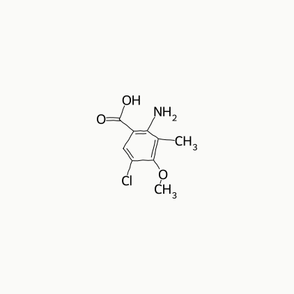 COc1c(Cl)cc(C(=O)O)c(N)c1C